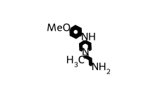 COc1ccc(NC2CCN([C@H](C)CCN)CC2)cc1